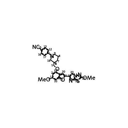 COc1cc(OC[C@H]2CCCN(c3ccc(C#N)cc3)C2)c2cc(-c3cn4nc(OC)sc4n3)oc2c1